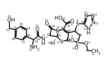 CCOP(=O)(O)CC(Sc1nnn[nH]1)C1=C(C(=O)O)N2C(=O)[C@@H](NC(=O)C(N)c3ccc(CO)cc3)[C@@H]2SC1